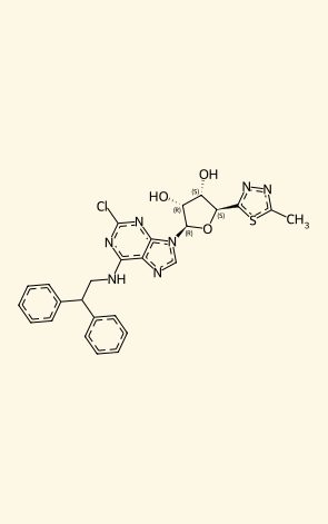 Cc1nnc([C@H]2O[C@@H](n3cnc4c(NCC(c5ccccc5)c5ccccc5)nc(Cl)nc43)[C@H](O)[C@@H]2O)s1